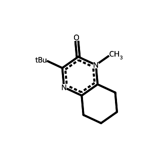 Cn1c2c(nc(C(C)(C)C)c1=O)CCCC2